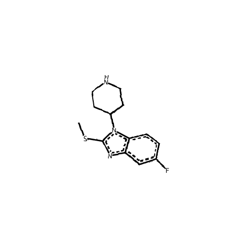 CSc1nc2cc(F)ccc2n1C1CCNCC1